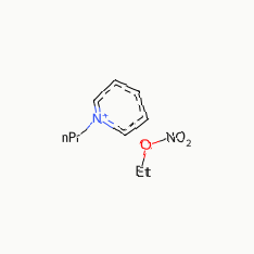 CCC[n+]1ccccc1.CCO[N+](=O)[O-]